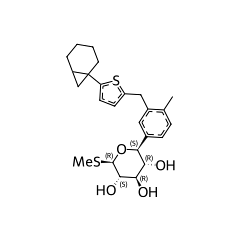 CS[C@H]1O[C@@H](c2ccc(C)c(Cc3ccc(C45CCCCC4C5)s3)c2)[C@H](O)[C@@H](O)[C@@H]1O